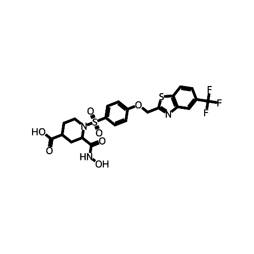 O=C(O)C1CCN(S(=O)(=O)c2ccc(OCc3nc4cc(C(F)(F)F)ccc4s3)cc2)C(C(=O)NO)C1